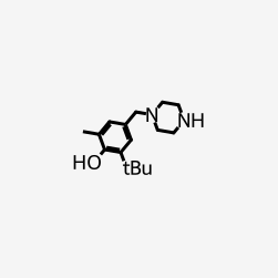 Cc1cc(CN2CCNCC2)cc(C(C)(C)C)c1O